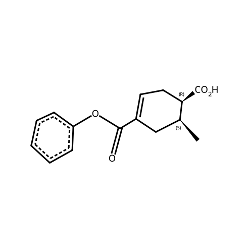 C[C@H]1CC(C(=O)Oc2ccccc2)=CC[C@H]1C(=O)O